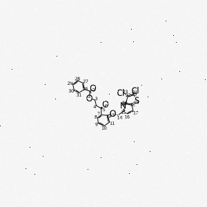 O=C(OCCC(=O)c1ccccc1OCc1ccc2sc(Cl)c(Cl)c2n1)c1ccccc1